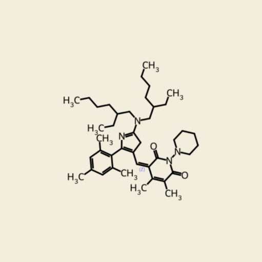 CCCCC(CC)CN(CC(CC)CCCC)C1=NC(c2c(C)cc(C)cc2C)=C(/C=C2\C(=O)N(N3CCCCC3)C(=O)C(C)=C2C)C1